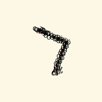 O=P([O-])([O-])[O-].O=P([O-])([O-])[O-].O=P([O-])([O-])[O-].O=P([O-])([O-])[O-].O=P([O-])([O-])[O-].O=P([O-])([O-])[O-].O=[Si]([O-])[O-].O=[Si]([O-])[O-].O=[Si]([O-])[O-].O=[Si]([O-])[O-].O=[Si]([O-])[O-].O=[Si]([O-])[O-].[Al+3].[Al+3].[Al+3].[Al+3].[Al+3].[Ca+2].[Ca+2].[Ca+2].[Ca+2].[Ca+2].[Na+].[Na+].[Na+].[Na+].[Na+]